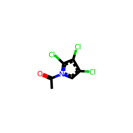 CC(=O)n1cc(Cl)c(Cl)c1Cl